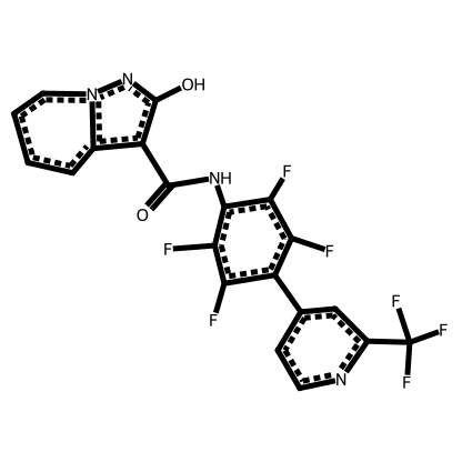 O=C(Nc1c(F)c(F)c(-c2ccnc(C(F)(F)F)c2)c(F)c1F)c1c(O)nn2ccccc12